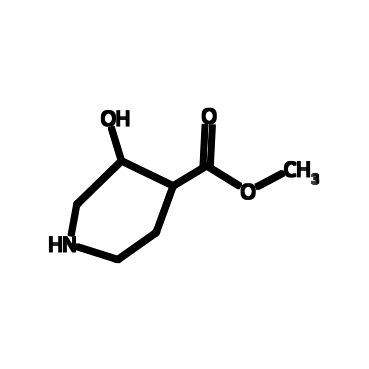 COC(=O)C1CCNCC1O